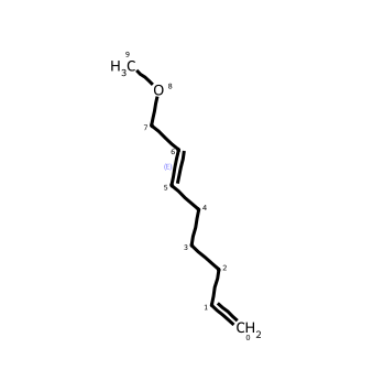 C=CCCC/C=C/COC